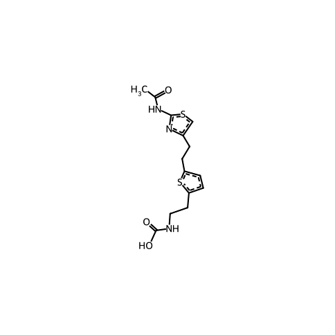 CC(=O)Nc1nc(CCc2ccc(CCNC(=O)O)s2)cs1